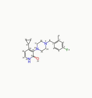 Cc1cc(F)ccc1CN1CCN(c2c(C3CC3)cc[nH]c2=O)CC1